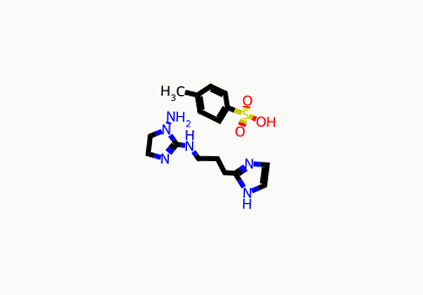 Cc1ccc(S(=O)(=O)O)cc1.NN1CCN=C1NCCCc1ncc[nH]1